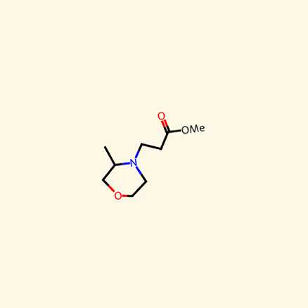 COC(=O)CCN1CCOCC1C